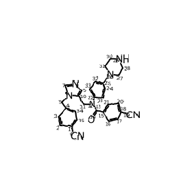 N#Cc1ccc(Cn2cncc2CN(C(=O)c2ccc(C#N)cc2)c2ccc(N3CCNCC3)cc2)cc1